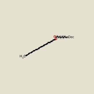 CC#CC#CC#CC#CC#CC#CC#CC#CC#CC#CC#CC#COC(=O)CCCCCCCCCCCCCCCCCC